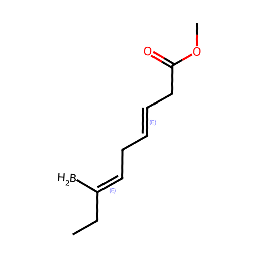 B/C(=C\C/C=C/CC(=O)OC)CC